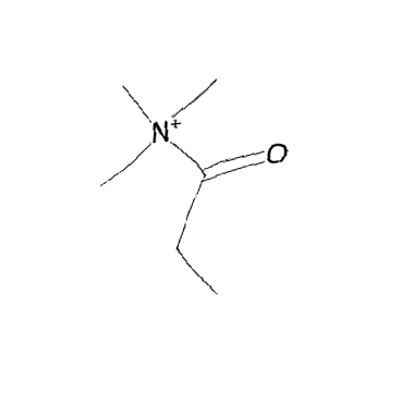 CCC(=O)[N+](C)(C)C